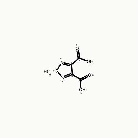 Cl.O=C(O)c1nsnc1C(=O)O